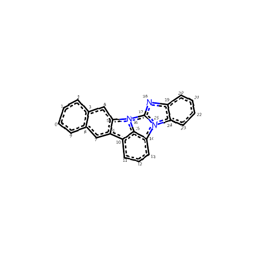 c1ccc2cc3c(cc2c1)c1cccc2c1n3c1nc3ccccc3n21